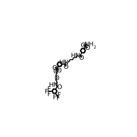 NS(=O)(=O)c1ccc(C(=O)NCCCCCNC(=O)c2cccc(S(=O)(=O)OCCOCCNC(=O)c3cc(C(F)(F)F)cc(C(F)(F)F)c3)c2)cc1